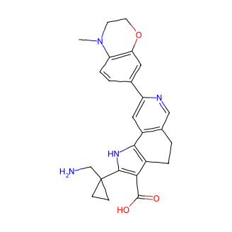 CN1CCOc2cc(-c3cc4c(cn3)CCc3c-4[nH]c(C4(CN)CC4)c3C(=O)O)ccc21